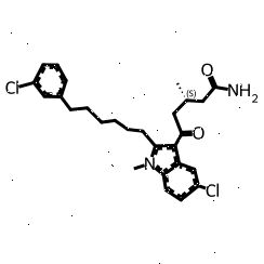 C[C@H](CC(N)=O)CC(=O)c1c(CCCCCCc2cccc(Cl)c2)n(C)c2ccc(Cl)cc12